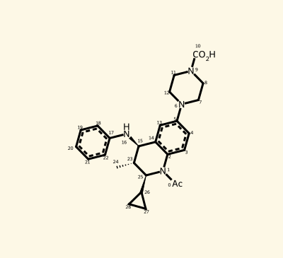 CC(=O)N1c2ccc(N3CCN(C(=O)O)CC3)cc2[C@H](Nc2ccccc2)[C@@H](C)[C@@H]1C1CC1